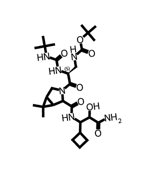 CC(C)(C)NC(=O)N[C@@H](CNC(=O)OC(C)(C)C)C(=O)N1CC2C(C1C(=O)NC(C1CCC1)C(O)C(N)=O)C2(C)C